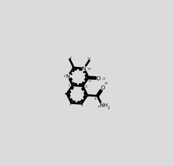 Cc1nc2cccc(C(N)=O)c2c(=O)n1C